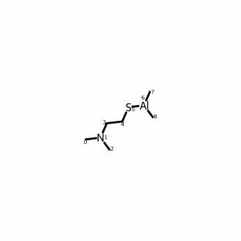 CN(C)CC[S][Al]([CH3])[CH3]